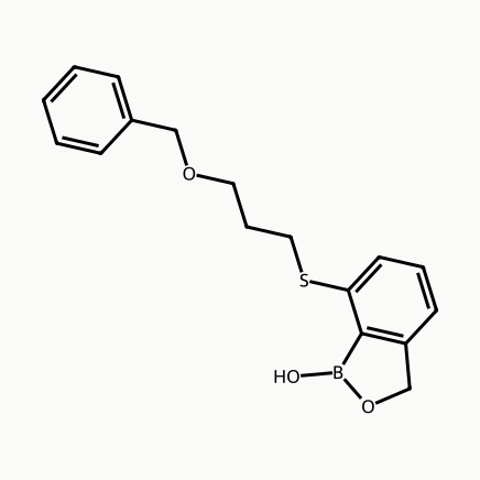 OB1OCc2cccc(SCCCOCc3ccccc3)c21